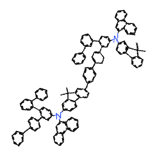 CC1(C)c2ccccc2-c2ccc(N(c3ccc(-c4cccc(-c5ccccc5)c4)c(C4=CC=C(c5ccc(-c6ccc7c(c6)C(C)(C)c6cc(N(c8ccc(-c9ccccc9-c9ccccc9)c(-c9ccc(-c%10ccccc%10)cc9)c8)c8cc9ccccc9c9ccccc89)ccc6-7)cc5)CC4)c3)c3cc4ccccc4c4ccccc34)cc21